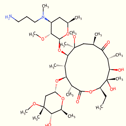 CC[C@H]1OC(=O)[C@H](C)[C@@H](O[C@H]2C[C@@](C)(OC)[C@@H](O)[C@H](C)O2)[C@H](C)[C@@H](O[C@@H]2O[C@H](C)C[C@H](N(C)CCCN)[C@H]2OC)[C@@](C)(OC)C[C@@H](C)C(=O)[C@H](C)[C@@H](O)[C@]1(C)O